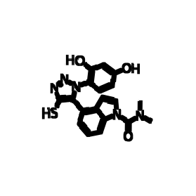 CN(C)C(=O)n1ccc2c(-c3c(S)nnn3-c3ccc(O)cc3O)cccc21